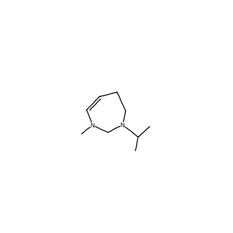 CC(C)N1CCC=CN(C)C1